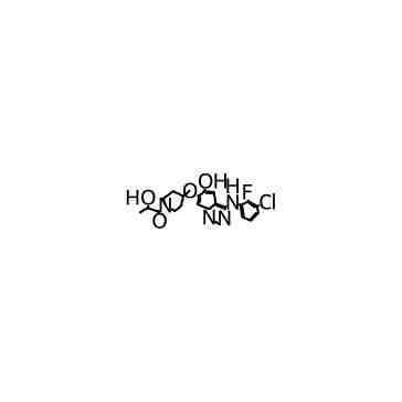 CC(O)C(=O)N1CCC(Oc2cc3ncnc(Nc4cccc(Cl)c4F)c3cc2O)CC1